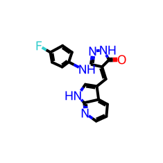 O=C1NN=C(Nc2ccc(F)cc2)C1=Cc1c[nH]c2ncccc12